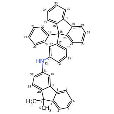 CC1(C)c2ccccc2-c2cc(Nc3cccc(C4(c5ccccc5)c5ccccc5-c5ccccc54)c3)ccc21